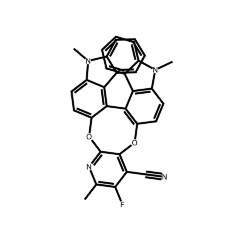 Cc1nc2oc3ccc4c(c5ccccc5n4C)c3c3c(ccc4c3c3ccccc3n4C)oc2c(C#N)c1F